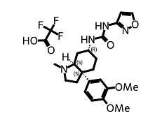 COc1ccc([C@@]23CC[C@@H](NC(=O)Nc4ccon4)C[C@@H]2N(C)CC3)cc1OC.O=C(O)C(F)(F)F